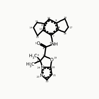 CC1(C)C(C(=O)Nc2c3c(cc4c2CCC4)CCC3)Oc2ccnn21